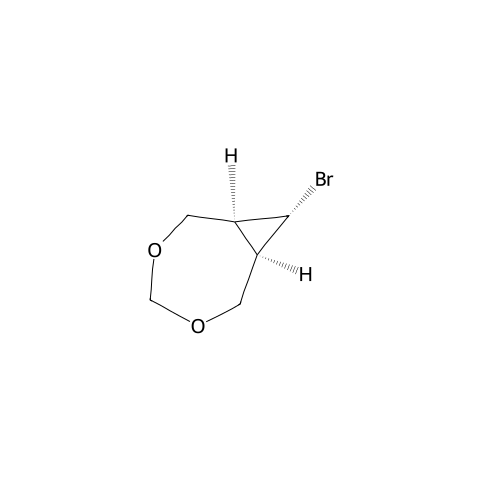 Br[C@@H]1[C@H]2COCOC[C@@H]12